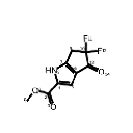 COC(=O)c1cc2c([nH]1)CC(F)(F)C2=O